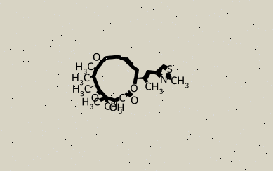 C/C(=C\c1csc(C)n1)[C@@H]1C/C=C\CCC(=O)[C@H](C)[C@H](C)[C@@H](C)C(=O)C(C)(C)[C@@H](O)CC(=O)O1